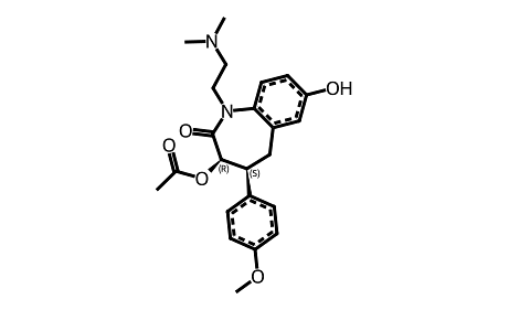 COc1ccc([C@@H]2Cc3cc(O)ccc3N(CCN(C)C)C(=O)[C@@H]2OC(C)=O)cc1